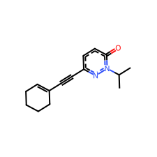 CC(C)n1nc(C#CC2=CCCCC2)ccc1=O